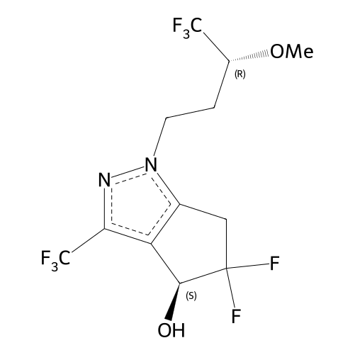 CO[C@H](CCn1nc(C(F)(F)F)c2c1CC(F)(F)[C@H]2O)C(F)(F)F